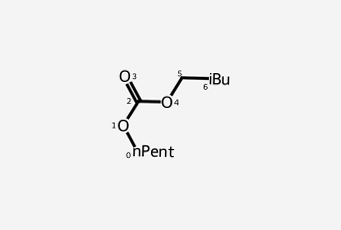 CCCCCOC(=O)OCC(C)CC